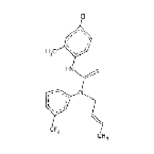 C/C=C/CN(C(=S)Nc1ccc(Cl)cc1C)c1cccc(C(F)(F)F)c1